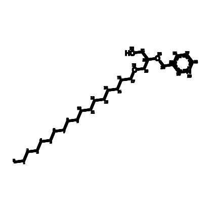 CCCCCCCCCCCCCCCCCCOCC(CO)OCc1cccnc1